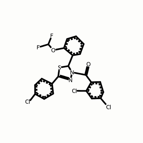 O=C(c1ccc(Cl)cc1Cl)N1N=C(c2ccc(Cl)cc2)SC1c1ccccc1OC(F)F